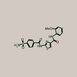 COc1ccccc1NC(=O)c1csc(NC(=O)c2ccc(S(N)(=O)=O)cc2)n1